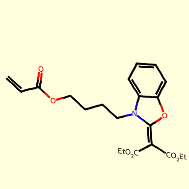 C=CC(=O)OCCCCN1C(=C(C(=O)OCC)C(=O)OCC)Oc2ccccc21